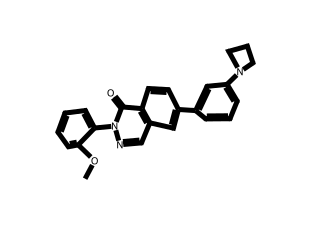 COc1ccccc1-n1ncc2cc(-c3cccc(N4CCC4)c3)ccc2c1=O